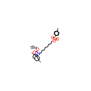 Cc1ccc(S(=O)(=O)OCCCCCCCCN(C(=O)OC(C)(C)C)C23CC4C[C@@](C)(C2)C[C@](C)(C4)C3)cc1